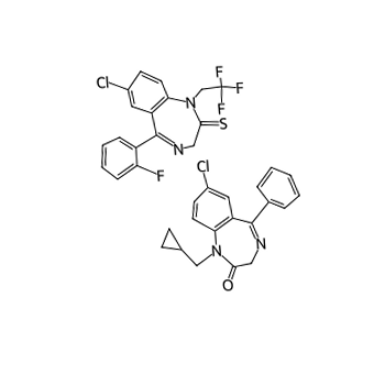 Fc1ccccc1C1=NCC(=S)N(CC(F)(F)F)c2ccc(Cl)cc21.O=C1CN=C(c2ccccc2)c2cc(Cl)ccc2N1CC1CC1